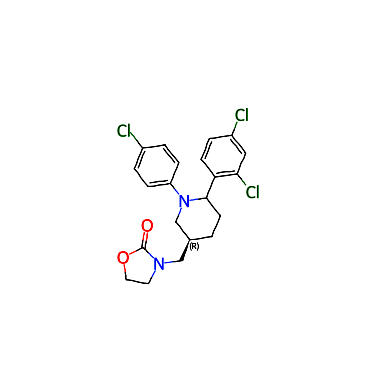 O=C1OCCN1C[C@@H]1CCC(c2ccc(Cl)cc2Cl)N(c2ccc(Cl)cc2)C1